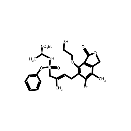 CCOC(=O)[C@H](C)NP(=O)(C/C(C)=C/Cc1c(CC)c(C)c2c(c1OCCS)C(=O)OC2)Oc1ccccc1